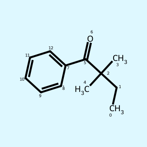 CCC(C)(C)C(=O)c1[c]cccc1